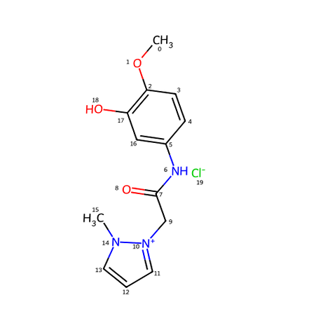 COc1ccc(NC(=O)C[n+]2cccn2C)cc1O.[Cl-]